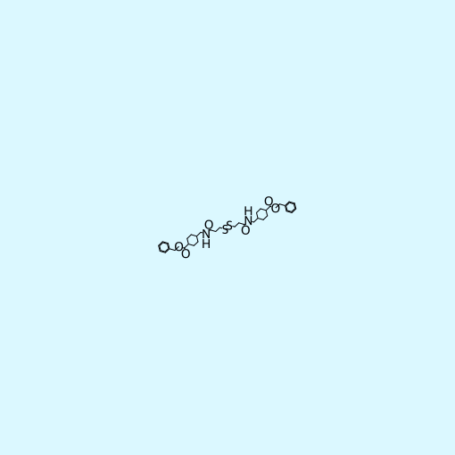 O=C(CCSSCCC(=O)NCC1CCC(C(=O)OCc2ccccc2)CC1)NCC1CCC(C(=O)OCc2ccccc2)CC1